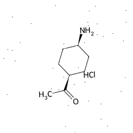 CC(=O)[C@H]1CC[C@@H](N)CC1.Cl